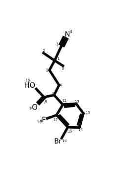 CC(C)(C#N)CCC(C(=O)O)c1cccc(Br)c1F